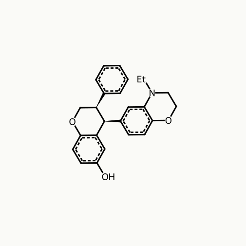 CCN1CCOc2ccc([C@H]3c4cc(O)ccc4OC[C@H]3c3ccccc3)cc21